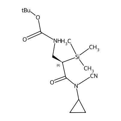 CC(C)(C)OC(=O)NC[C@H](C(=O)N(C#N)C1CC1)[Si](C)(C)C